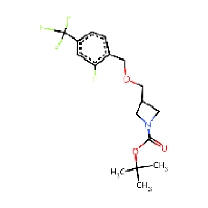 CC(C)(C)OC(=O)N1CC(COCc2ccc(C(F)(F)F)cc2F)C1